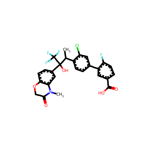 CC(c1ccc(-c2cc(C(=O)O)ccc2F)cc1Cl)C(O)(c1ccc2c(c1)N(C)C(=O)CO2)C(F)(F)F